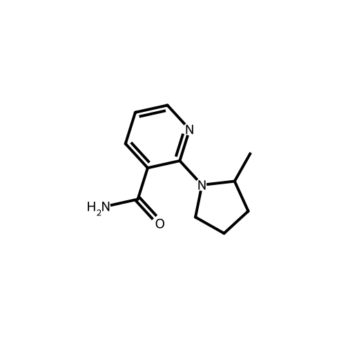 CC1CCCN1c1ncccc1C(N)=O